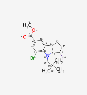 COC(=O)c1cc(Br)c2c(c1)C1CCC(I)C1N2CC(C)(C)C